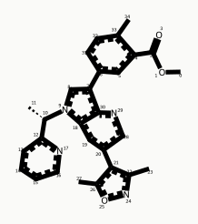 COC(=O)c1cc(-c2cn([C@@H](C)c3ccccn3)c3cc(-c4c(C)noc4C)cnc23)ccc1C